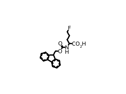 O=C(NC(CCCF)C(=O)O)OCC1c2ccccc2-c2ccccc21